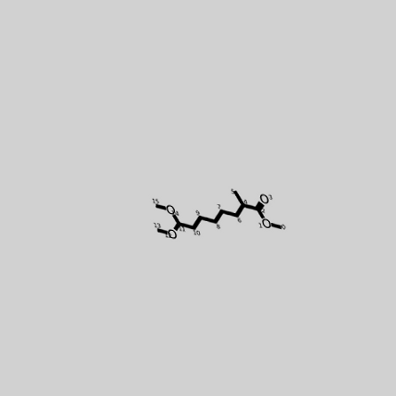 COC(=O)C(C)CCCCCC(OC)OC